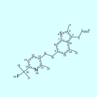 C=CCc1c(C)sc2cc(CCc3ccc(C(C)(C)F)nc3C)cc(C)c12